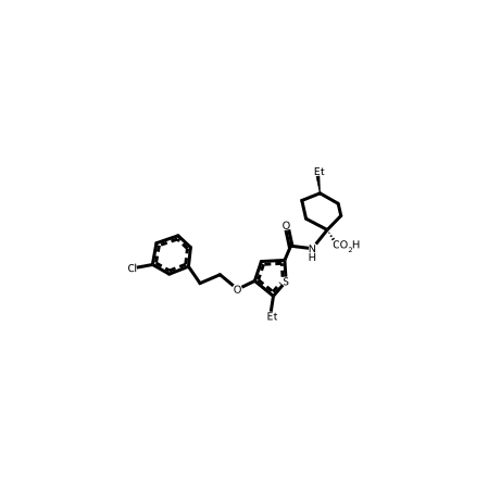 CCc1sc(C(=O)N[C@]2(C(=O)O)CC[C@H](CC)CC2)cc1OCCc1cccc(Cl)c1